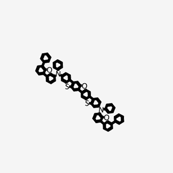 c1ccc(-c2cccc3c2oc2c(N(c4ccccc4)c4ccc5c(c4)sc4cc6c(cc45)oc4cc5c(cc46)sc4cc(N(c6ccccc6)c6cccc7c6oc6c(-c8ccccc8)cccc67)ccc45)cccc23)cc1